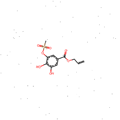 C=CCOC(=O)c1cc(O)c(O)c(OS(C)(=O)=O)c1